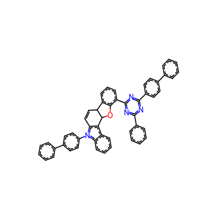 C1=CC2c3cccc(-c4nc(-c5ccccc5)nc(-c5ccc(-c6ccccc6)cc5)n4)c3OC2c2c1n(-c1ccc(-c3ccccc3)cc1)c1ccccc21